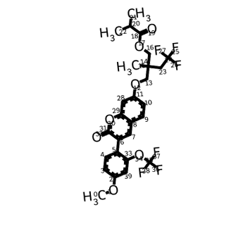 COc1ccc(-c2cc3ccc(OCC(C)(COC(=O)C(C)C)CC(F)(F)F)cc3oc2=O)c(OC(F)(F)F)c1